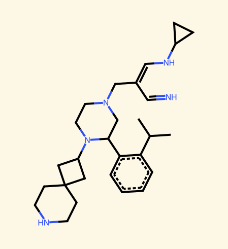 CC(C)c1ccccc1C1CN(C/C(C=N)=C/NC2CC2)CCN1C1CC2(CCNCC2)C1